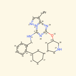 CC(C)c1cnn2c(NCc3ccccc3C3CCCCC3)nc(OC3CCCNC3)nc12